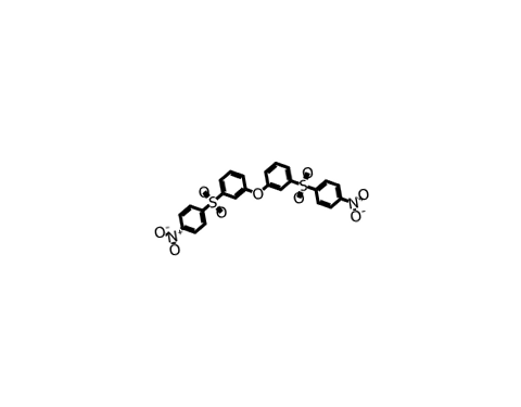 O=[N+]([O-])c1ccc(S(=O)(=O)c2cccc(Oc3cccc(S(=O)(=O)c4ccc([N+](=O)[O-])cc4)c3)c2)cc1